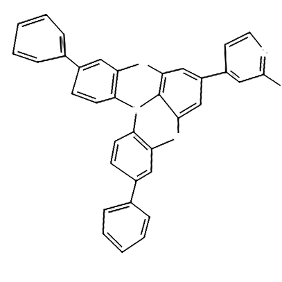 Cc1cc(-c2cc3c4c(c2)Oc2cc(-c5ccccc5)ccc2B4c2ccc(-c4ccccc4)cc2O3)ccn1